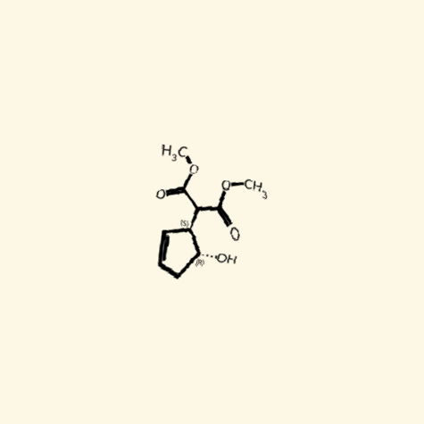 COC(=O)C(C(=O)OC)[C@@H]1C=CC[C@H]1O